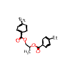 CCc1ccc(C(=O)OCC(C)OC(=O)c2ccc(CC)cc2)cc1